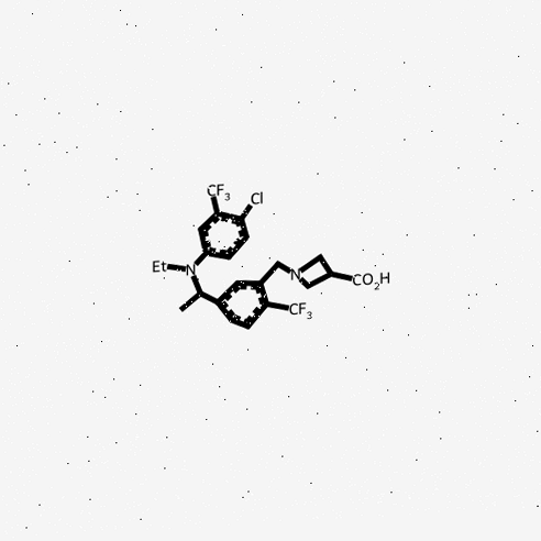 CCN(c1ccc(Cl)c(C(F)(F)F)c1)C(C)c1ccc(C(F)(F)F)c(CN2CC(C(=O)O)C2)c1